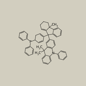 CC12CCCC=C1C(C1=CCC(P(c3ccccc3)c3ccccc3)C=C1)(c1ccc3c(c1)C(C)(C)c1ccccc1N3c1ccccc1)c1ccccc12